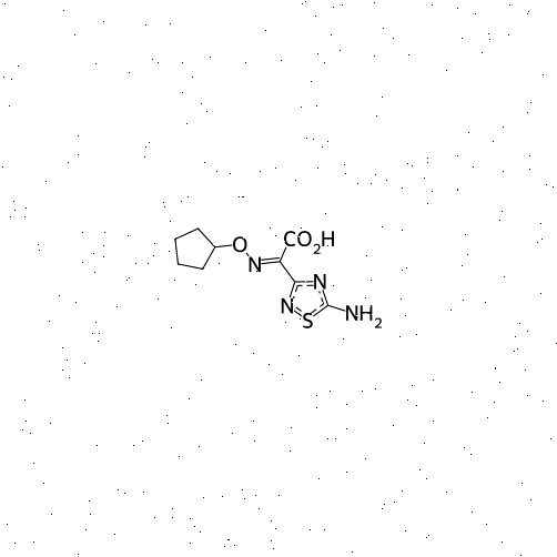 Nc1nc(C(=NOC2CCCC2)C(=O)O)ns1